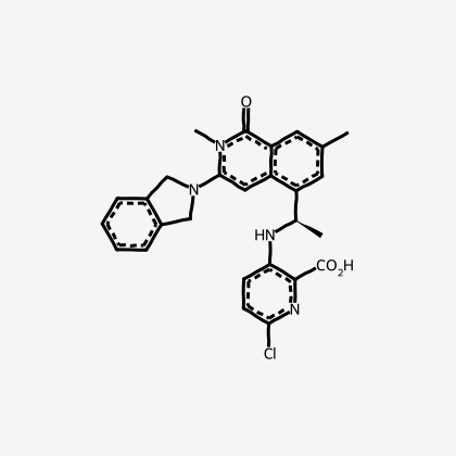 Cc1cc([C@@H](C)Nc2ccc(Cl)nc2C(=O)O)c2cc(N3Cc4ccccc4C3)n(C)c(=O)c2c1